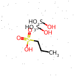 CCCS(=O)(=O)O.O=S(=O)(O)O.O=S(=O)(O)O